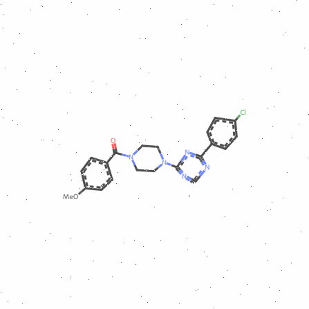 COc1ccc(C(=O)N2CCN(c3ncnc(-c4ccc(Cl)cc4)n3)CC2)cc1